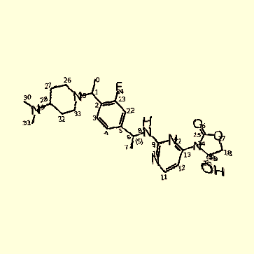 CC(c1ccc([C@H](C)Nc2nccc(N3C(=O)OC[C@@H]3O)n2)cc1F)N1CCC(N(C)C)CC1